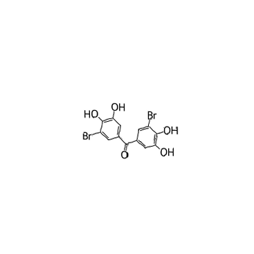 O=C(c1cc(O)c(O)c(Br)c1)c1cc(O)c(O)c(Br)c1